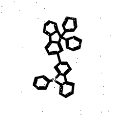 c1ccc(-n2c3ccccc3c3ccc(-c4ccc5c(c4)C(c4ccccc4)(c4ccccc4)c4ccccc4-5)cc32)cc1